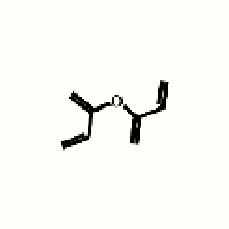 C=CC(=C)OC(=C)C=C